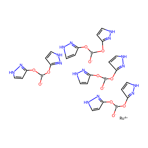 [O-]B(Oc1cc[nH]n1)Oc1cc[nH]n1.[O-]B(Oc1cc[nH]n1)Oc1cc[nH]n1.[O-]B(Oc1cc[nH]n1)Oc1cc[nH]n1.[O-]B(Oc1cc[nH]n1)Oc1cc[nH]n1.[Ru+4]